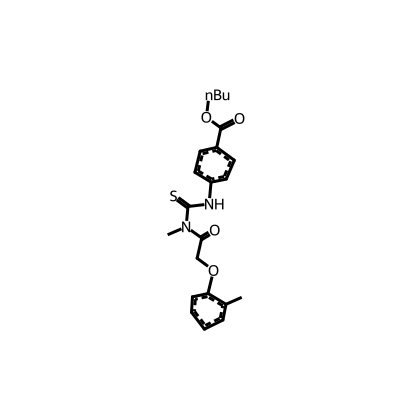 CCCCOC(=O)c1ccc(NC(=S)N(C)C(=O)COc2ccccc2C)cc1